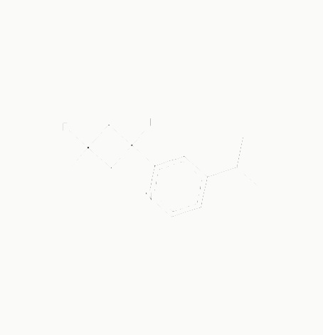 CC(C)c1ccnc(C2(F)CC(F)(F)C2)c1